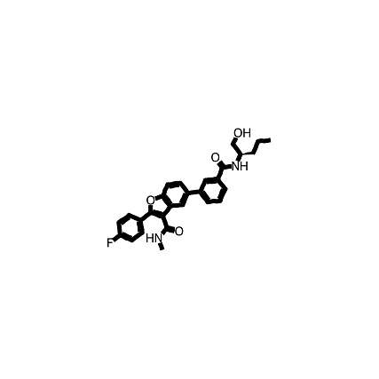 CCC[C@H](CO)NC(=O)c1cccc(-c2ccc3oc(-c4ccc(F)cc4)c(C(=O)NC)c3c2)c1